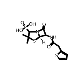 CC1(C)S[C@@H]2C(NC(=O)Cc3cccs3)C(=O)N2C1P(=O)(O)O